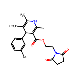 CCOC(=O)C1=C(C(F)(F)F)NC(C)=C(C(=O)OCCN2C(=O)CCC2=O)C1c1cccc([N+](=O)[O-])c1